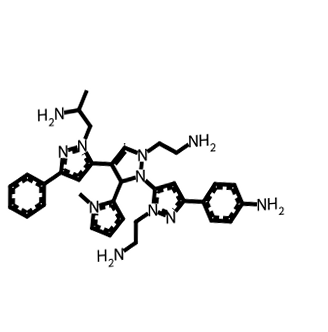 CC(N)Cn1nc(-c2ccccc2)cc1C1=[C]N(CCN)N(c2cc(-c3ccc(N)cc3)nn2CCN)C1c1cccn1C